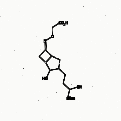 CCCCCCCCCC(O)CCC1CC2/C(=N\OCC(=O)O)CC2C1O